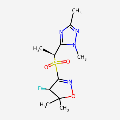 Cc1nc([C@H](C)S(=O)(=O)C2=NOC(C)(C)[C@H]2F)n(C)n1